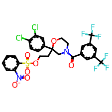 O=C(c1cc(C(F)(F)F)cc(C(F)(F)F)c1)N1CCOC(CCOS(=O)(=O)c2ccccc2[N+](=O)[O-])(c2ccc(Cl)c(Cl)c2)C1